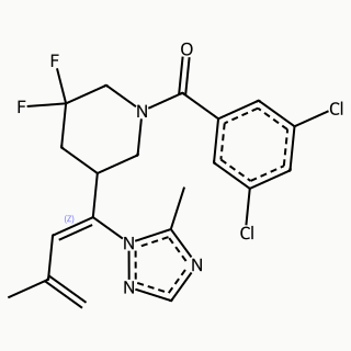 C=C(C)/C=C(/C1CN(C(=O)c2cc(Cl)cc(Cl)c2)CC(F)(F)C1)n1ncnc1C